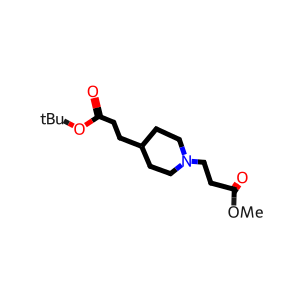 COC(=O)CCN1CCC(CCC(=O)OC(C)(C)C)CC1